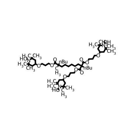 CCCCC(C)(CCCCCCC(CCCC)(C(=O)OCCCOC1CC(C)(C)N(O)C(C)(C)C1)C(=O)OCCCOC1CC(C)(C)N(O)C(C)(C)C1)C(=O)OCCCOC1CC(C)(C)N(O)C(C)(C)C1